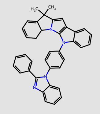 CC1(C)C2=CC=CCC2n2c1cc1c3ccccc3n(-c3ccc(-n4c(-c5ccccc5)nc5ccccc54)cc3)c12